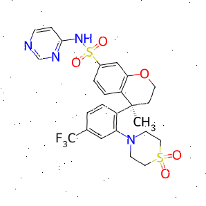 C[C@@]1(c2ccc(C(F)(F)F)cc2N2CCS(=O)(=O)CC2)CCOc2cc(S(=O)(=O)Nc3ccncn3)ccc21